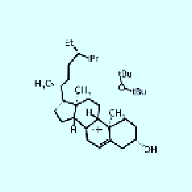 CC(C)(C)OC(C)(C)C.CC[C@H](CC[C@@H](C)[C@H]1CC[C@H]2[C@@H]3CC=C4C[C@@H](O)CC[C@]4(C)[C@H]3CC[C@]12C)C(C)C